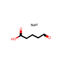 O=CCCCC(=O)O.[NaH]